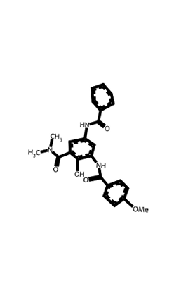 COc1ccc(C(=O)Nc2cc(NC(=O)c3ccccc3)cc(C(=O)N(C)C)c2O)cc1